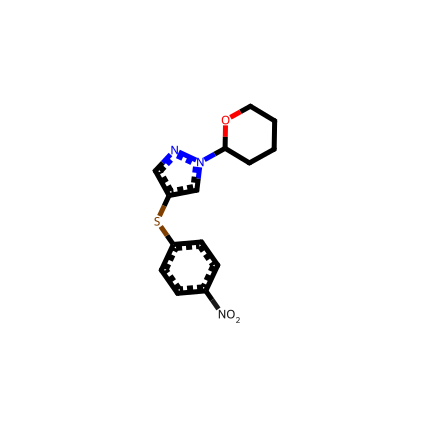 O=[N+]([O-])c1ccc(Sc2cnn(C3CCCCO3)c2)cc1